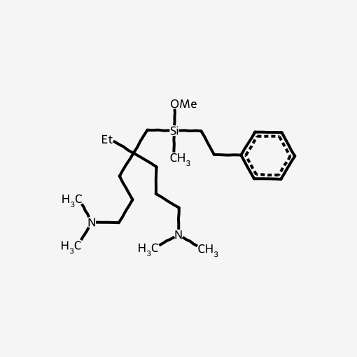 CCC(CCCN(C)C)(CCCN(C)C)C[Si](C)(CCc1ccccc1)OC